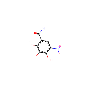 NC(=O)c1cc([N+](=O)[O-])c(O)c(O)c1O